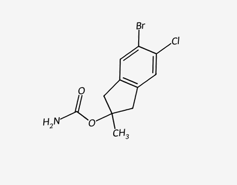 CC1(OC(N)=O)Cc2cc(Cl)c(Br)cc2C1